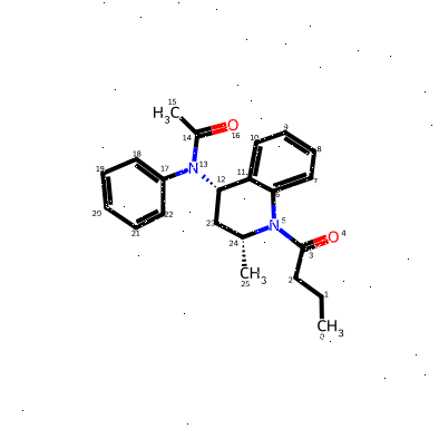 CCCC(=O)N1c2ccccc2[C@@H](N(C(C)=O)c2ccccc2)C[C@H]1C